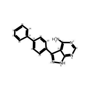 Nc1ncnc2[nH]nc(-c3ccc(-c4ccccc4)cc3)c12